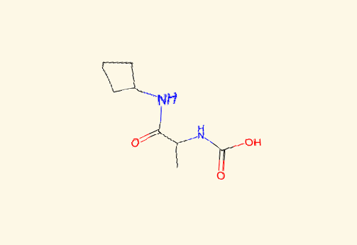 CC(NC(=O)O)C(=O)NC1CCC1